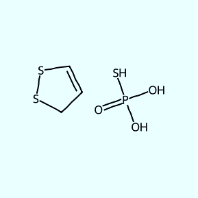 C1=CSSC1.O=P(O)(O)S